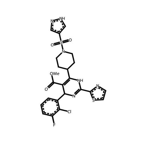 COC(=O)C1=C(C2CCN(S(=O)(=O)c3cn[nH]c3)CC2)NC(c2nccs2)=NC1c1cccc(F)c1Cl